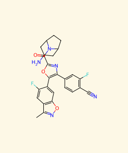 Cc1noc2cc(-c3oc(C(=O)N4C5CCC4CC(N)C5)nc3-c3ccc(C#N)c(F)c3)c(F)cc12